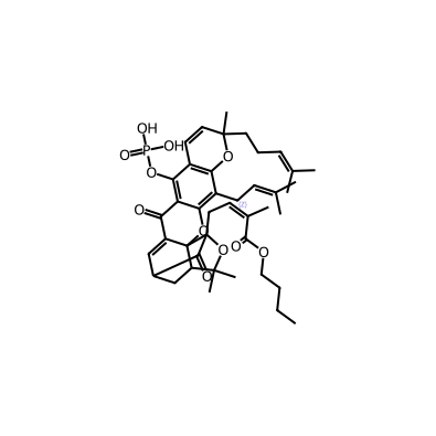 CCCCOC(=O)/C(C)=C\CC12OC(C)(C)C3CC(C=C4C(=O)c5c(OP(=O)(O)O)c6c(c(CC=C(C)C)c5OC431)OC(C)(CCC=C(C)C)C=C6)C2=O